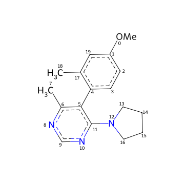 COc1ccc(-c2c(C)ncnc2N2CCCC2)c(C)c1